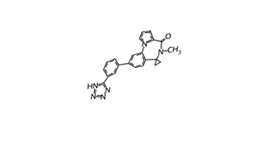 CN1C(=O)c2cccn2-c2cc(-c3cccc(-c4nnn[nH]4)c3)ccc2C12CC2